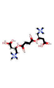 C[N+](C)(C)C[C@@H](CC(=O)O)OC(=O)/C=C/C(=O)O[C@H](CC(=O)O)C[N+](C)(C)C